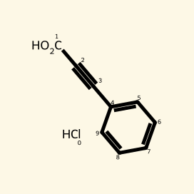 Cl.O=C(O)C#Cc1ccccc1